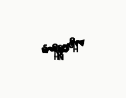 N#Cc1c(NC(=O)C=Cc2cccs2)sc2c1CCC(COC(=O)NCC1CC1)C2